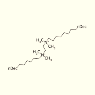 CCCCCCCCCCCCCCCCCC[N+](C)(C)CC[N+](C)(C)CCCCCCCCCCCCCCCC